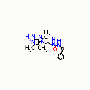 Cc1nc(N)c2nc(C)n(CCCNC(=O)N[C@@H]3C[C@H]3c3ccccc3)c2c1C